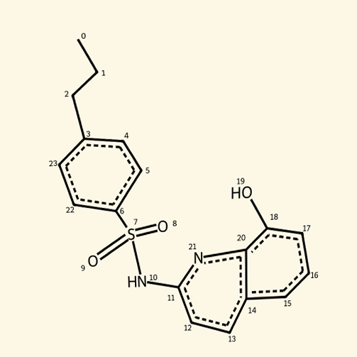 CCCc1ccc(S(=O)(=O)Nc2ccc3cccc(O)c3n2)cc1